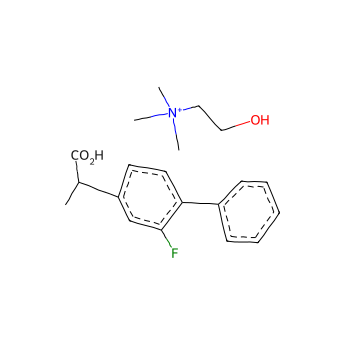 CC(C(=O)O)c1ccc(-c2ccccc2)c(F)c1.C[N+](C)(C)CCO